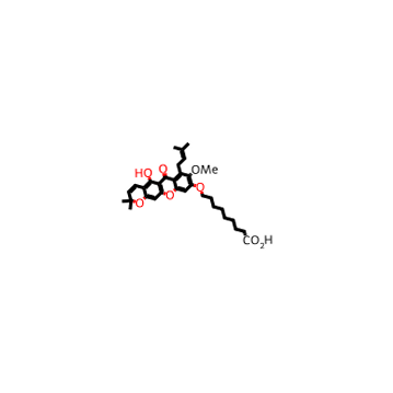 COc1c(OCCCCCCCCC(=O)O)cc2oc3cc4c(c(O)c3c(=O)c2c1CC=C(C)C)C=CC(C)(C)O4